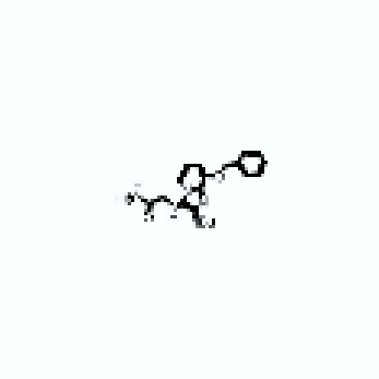 CCCCc1nc2c(OCc3ccccc3)cccn2c1NCC(=O)NO